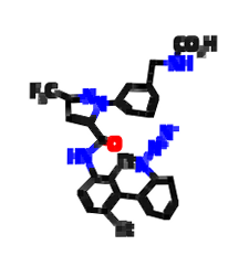 CCc1ccc(NC(=O)c2cc(C(F)(F)F)nn2-c2cccc(CNC(=O)O)c2)c(CC)c1-c1ccccc1N=[N+]=[N-]